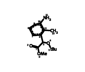 COC(=O)C(OC(C)(C)C)c1cccc(N)c1C